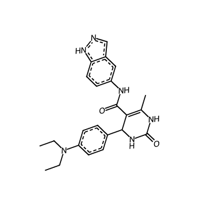 CCN(CC)c1ccc(C2NC(=O)NC(C)=C2C(=O)Nc2ccc3[nH]ncc3c2)cc1